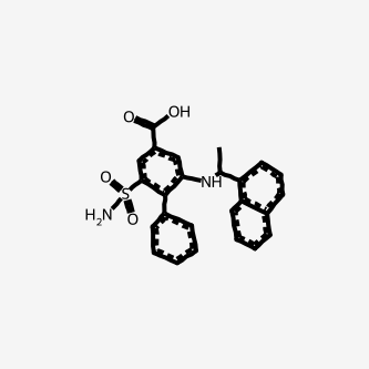 CC(Nc1cc(C(=O)O)cc(S(N)(=O)=O)c1-c1ccccc1)c1cccc2ccccc12